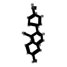 CCc1ccc2c(F)c(-c3ccc(C#N)cc3)ccc2c1